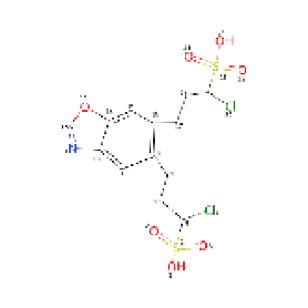 O=S(=O)(O)C(Cl)CCc1cc2n[c]oc2cc1CCC(Cl)S(=O)(=O)O